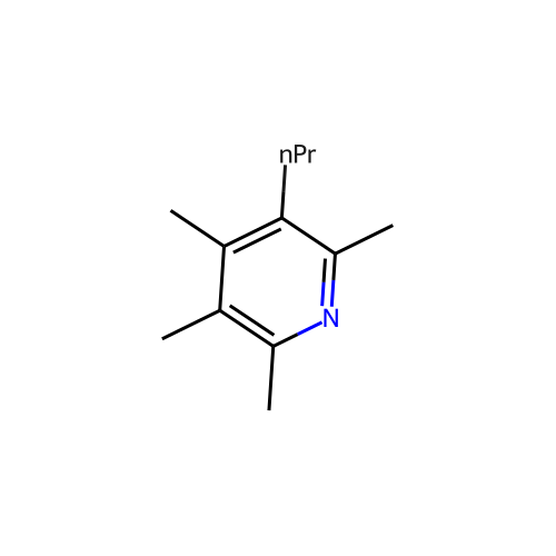 CCCc1c(C)nc(C)c(C)c1C